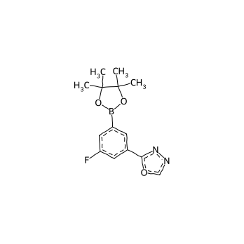 CC1(C)OB(c2cc(F)cc(-c3nnco3)c2)OC1(C)C